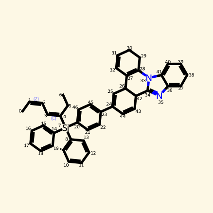 C/C=C\C=C(/CC)[Si](c1ccccc1)(c1ccccc1)c1ccc(C2=CC3C4=C(CCC=C4)n4c(nc5ccccc54)C3C=C2)cc1